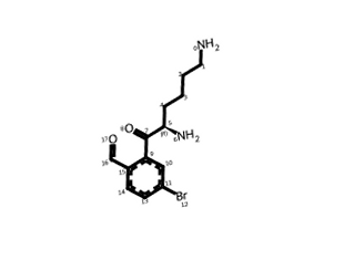 NCCCC[C@@H](N)C(=O)c1cc(Br)ccc1[C]=O